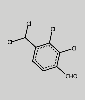 O=Cc1ccc(C(Cl)Cl)c(Cl)c1Cl